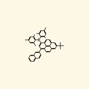 Cc1cc(C)c(B(c2c(C)cc(C)cc2C)c2cc(-c3ccc4ccccc4c3)c3ccc4cc(C(C)(C)C)cc5ccc2c3c54)c(C)c1